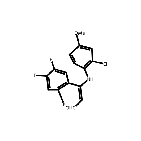 COc1ccc(NC(=CC=O)c2cc(F)c(F)cc2F)c(Cl)c1